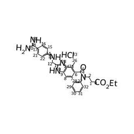 CCOC(=O)CCN(C(=O)c1ccc2[nH]c(CNc3ccc(C(=N)N)cc3)nc2c1C)c1ccccc1.Cl